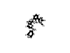 COc1c(NC(=O)c2cnn3ccc(NC4CCOCC4)nc23)cccc1-c1ncn(C)n1